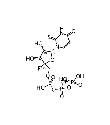 O=c1ccn([C@@H]2O[C@](F)(COP(=O)(O)OP(=O)(O)OP(=O)(O)O)[C@@H](O)[C@H]2O)c(=S)[nH]1